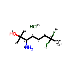 CC(C)(O)C(N)CCCC(F)(F)C(F)(F)F.Cl